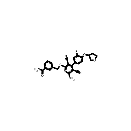 N#Cc1c(N)nc(SCc2cccc(C(N)=O)c2)c(C#N)c1-c1ccc(OC2CCOC2)c(F)c1